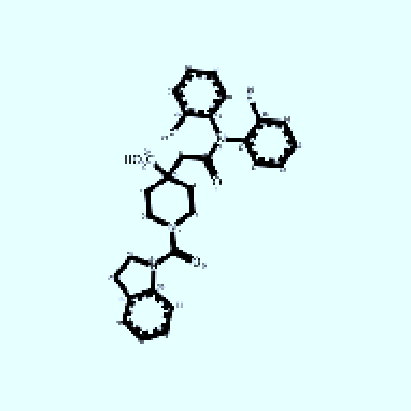 O=C(N1CCC(CC(=O)N(c2ccccc2F)c2ccccc2F)(C(=O)O)CC1)N1CCc2ccccc21